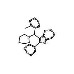 Cc1ccccc1C(c1c(-c2ccccc2)[nH]c2ccccc12)N1CCCCC1